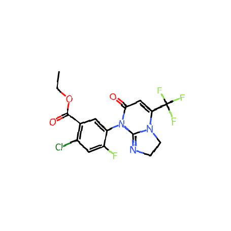 CCOC(=O)c1cc(N2C(=O)C=C(C(F)(F)F)N3CCN=C32)c(F)cc1Cl